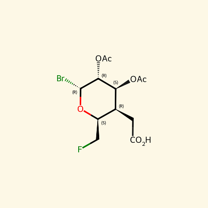 CC(=O)O[C@@H]1[C@@H](OC(C)=O)[C@@H](CC(=O)O)[C@@H](CF)O[C@@H]1Br